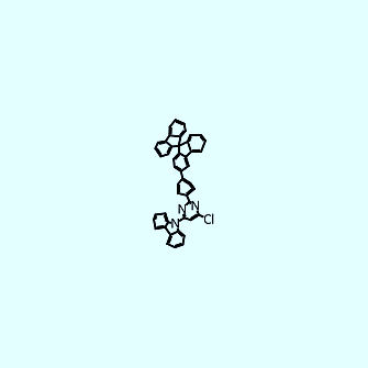 Clc1cc(-n2c3ccccc3c3ccccc32)nc(C2=C=C=C(c3ccc4c(c3)-c3ccccc3C43c4ccccc4-c4ccccc43)C=C2)n1